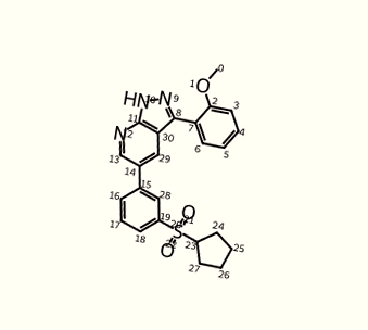 COc1ccccc1-c1n[nH]c2ncc(-c3cccc(S(=O)(=O)C4CCCC4)c3)cc12